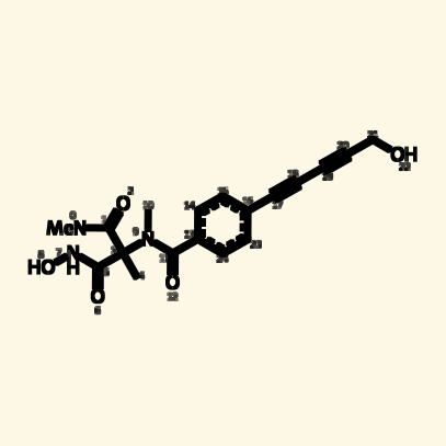 CNC(=O)C(C)(C(=O)NO)N(C)C(=O)c1ccc(C#CC#CCO)cc1